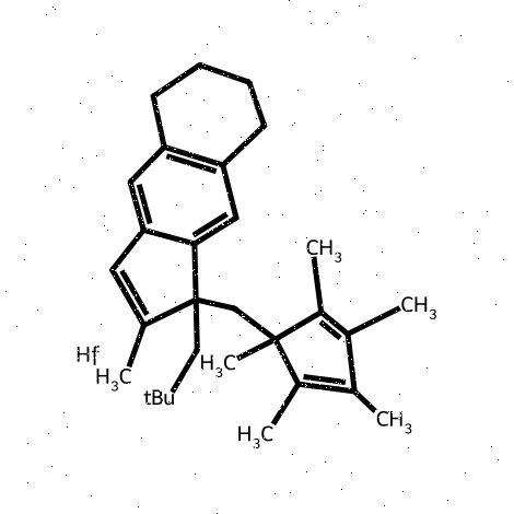 CC1=Cc2cc3c(cc2C1(CC(C)(C)C)CC1(C)C(C)=C(C)C(C)=C1C)CCCC3.[Hf]